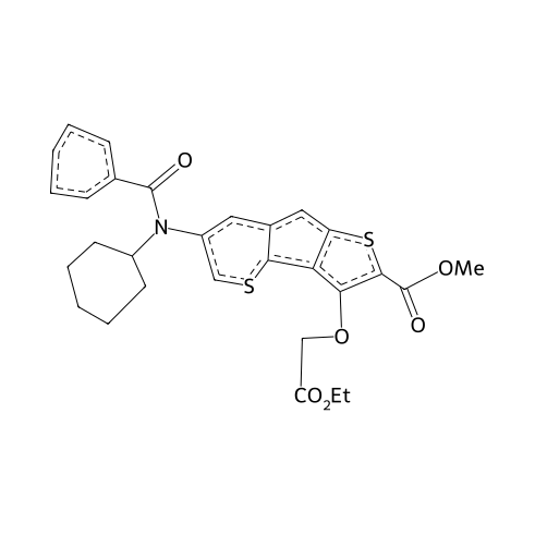 CCOC(=O)COc1c(C(=O)OC)sc2cc3cc(N(C(=O)c4ccccc4)C4CCCCC4)csc-3c12